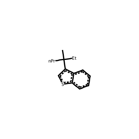 CCCC(C)(CC)c1csc2ccccc12